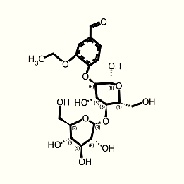 CCOc1cc(C=O)ccc1O[C@@H]1[C@@H](O)[C@H](O[C@H]2O[C@H](CO)[C@@H](O)[C@H](O)[C@H]2O)[C@@H](CO)O[C@H]1O